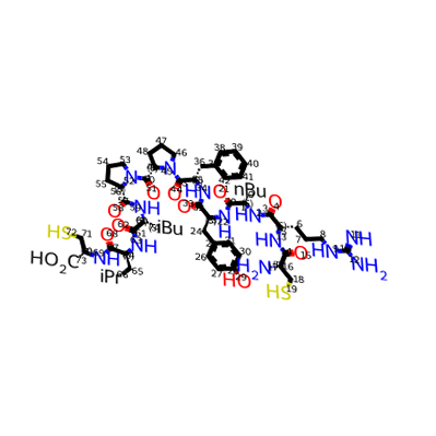 CCCC[C@H](NC(=O)[C@H](CCCNC(=N)N)NC(=O)[C@@H](N)CS)C(=O)N[C@@H](Cc1ccc(O)cc1)C(=O)N[C@@H](Cc1ccccc1)C(=O)N1CCC[C@H]1C(=O)N1CCC[C@H]1C(=O)N[C@H](C(=O)N[C@@H](CC(C)C)C(=O)N[C@@H](CS)C(=O)O)[C@@H](C)CC